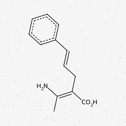 CC(N)=C(CC=Cc1ccccc1)C(=O)O